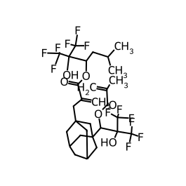 C=C(C)C(=O)OC(C12CC3CC(CC(CC(=C)C(=O)OC(CC(C)C)C(O)(C(F)(F)F)C(F)(F)F)(C3)C1)C2)C(O)(C(F)(F)F)C(F)(F)F